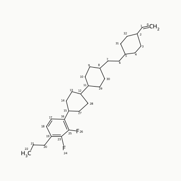 C=CC1CCC(CCC2CCC(C3CCC(c4ccc(CCC)c(F)c4F)CC3)CC2)CC1